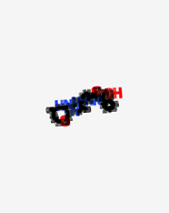 C=C1/C=C\C(Nc2ncc(C)c(-n3ccc(C(=O)NC(CO)c4ccccc4)c3)n2)=C/COCCC1